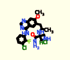 COc1cc2ncnc(Nc3cccc(Cl)c3F)c2cc1CC(C)NC1(C(N)=O)CNC1.Cl